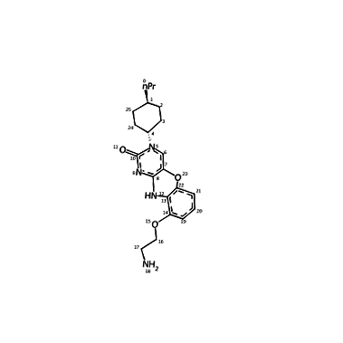 CCC[C@H]1CC[C@H](n2cc3c(nc2=O)Nc2c(OCCN)cccc2O3)CC1